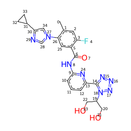 Cc1cc(F)c(C(=O)Nc2cccc(-c3nnnn3C(CO)CO)n2)cc1-n1cnc(C2CC2)c1